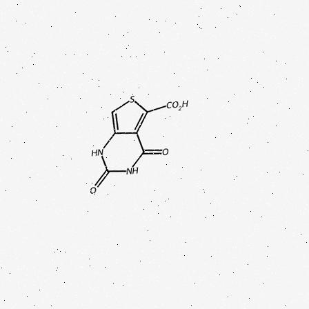 O=C(O)c1scc2[nH]c(=O)[nH]c(=O)c12